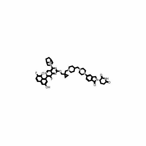 O=C1CC[C@H](N2Cc3cc(N4CCN(CC5CCN(CC6(COc7nc(N8CC9CCC(C8)N9)c8cnc(-c9cc(O)cc%10ccc(F)c(Cl)c9%10)c(F)c8n7)CC6)CC5)CC4)ccc3C2=O)C(=O)N1